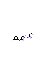 CN1N=C(C(=O)Nc2ccc(Cc3cccc(C=O)c3)cn2)CCC1=O